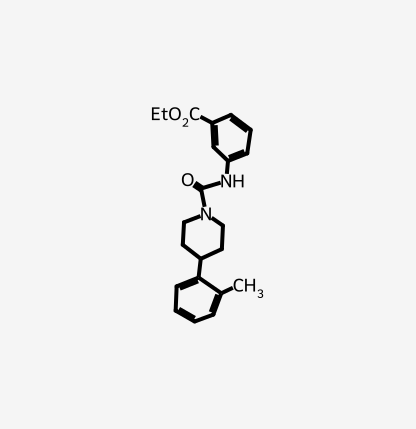 CCOC(=O)c1cccc(NC(=O)N2CCC(c3ccccc3C)CC2)c1